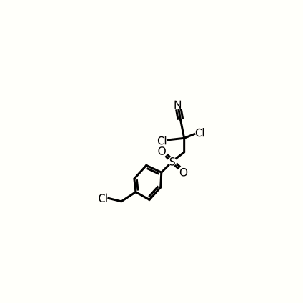 N#CC(Cl)(Cl)CS(=O)(=O)c1ccc(CCl)cc1